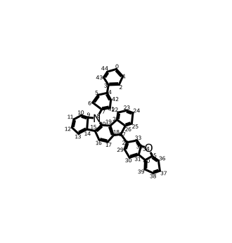 c1ccc(-c2ccc(-n3c4ccccc4c4ccc5c(c43)-c3ccccc3C5c3ccc4c(c3)oc3ccccc34)cc2)cc1